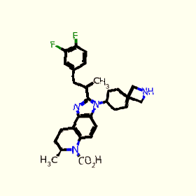 CC(Cc1ccc(F)c(F)c1)c1nc2c3c(ccc2n1C1CCC2(CC1)CNC2)N(C(=O)O)[C@@H](C)CC3